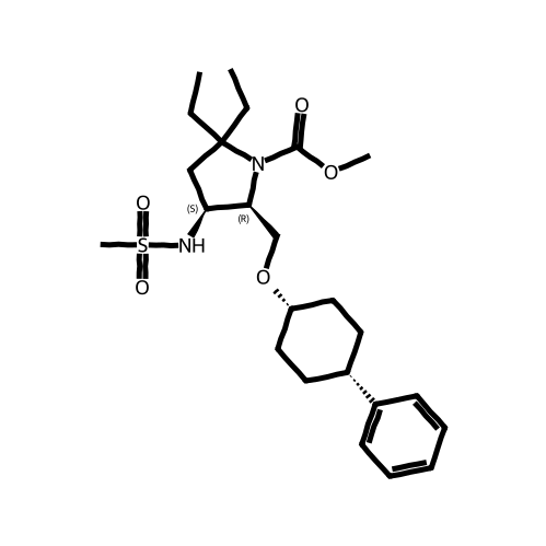 CCC1(CC)C[C@H](NS(C)(=O)=O)[C@H](CO[C@H]2CC[C@@H](c3ccccc3)CC2)N1C(=O)OC